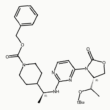 CC(OC(C)(C)C)[C@H]1COC(=O)N1c1ccnc(N[C@@H](C)C2CCN(C(=O)OCc3ccccc3)CC2)n1